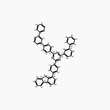 c1ccc(-c2cccc(-c3ccc(-c4nc(-c5ccc(-c6cccc7c6sc6ccccc67)cc5)nc(-c5cccc(-c6ccccc6)c5)n4)cc3)c2)cc1